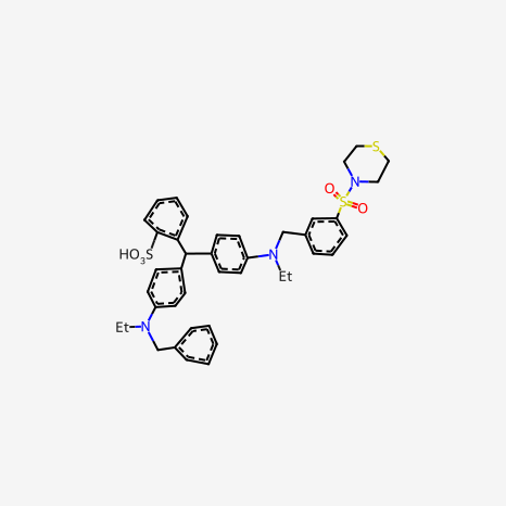 CCN(Cc1ccccc1)c1ccc(C(c2ccc(N(CC)Cc3cccc(S(=O)(=O)N4CCSCC4)c3)cc2)c2ccccc2S(=O)(=O)O)cc1